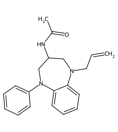 C=CCN1CC(NC(C)=O)CN(c2ccccc2)c2ccccc21